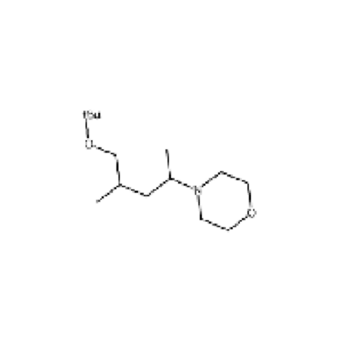 CC(COC(C)(C)C)CC(C)N1CCOCC1